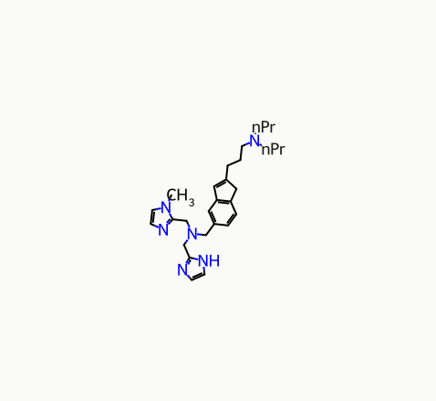 CCCN(CCC)CCCC1=Cc2cc(CN(Cc3ncc[nH]3)Cc3nccn3C)ccc2C1